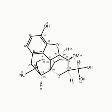 CCC(O)([C@H]1C[C@@]23CC[C@]1(OC)[C@@H]1Oc4c(O)ccc5c4[C@@]12CCN(C#N)[C@@H]3C5)C(C)(C)C